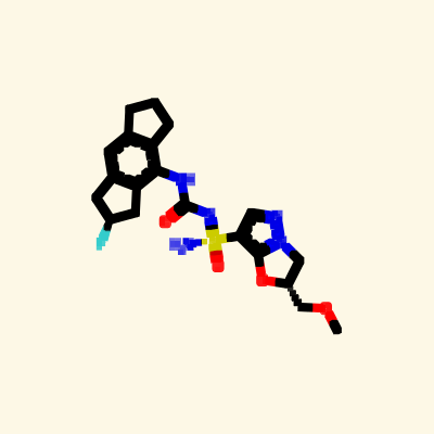 COC[C@H]1Cn2ncc([S@@](N)(=O)=NC(=O)Nc3c4c(cc5c3C[C@@H](F)C5)CCC4)c2O1